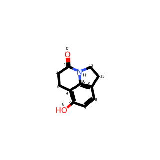 O=C1CCc2c(O)ccc3c2N1CC3